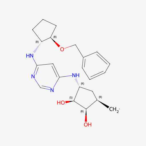 [CH2][C@@H]1C[C@@H](Nc2cc(N[C@@H]3CCC[C@H]3OCc3ccccc3)ncn2)[C@H](O)[C@@H]1O